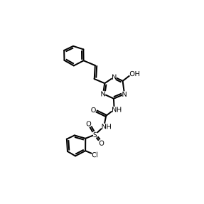 O=C(Nc1nc(O)nc(/C=C/c2ccccc2)n1)NS(=O)(=O)c1ccccc1Cl